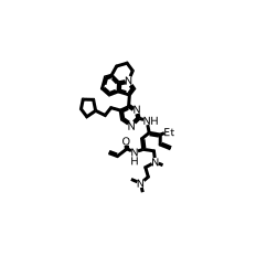 C=CC(=O)N/C(=C/C(Nc1ncc(CCC2CCCC2)c(-c2cn3c4c(cccc24)CCC3)n1)=C(\C=C)CC)CN(C)CCN(C)C